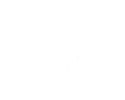 CN(C)CC(=O)N(C)c1ccc(N2CCOCC2)c(COc2ccc(-c3c(-c4ccccc4)c4sc(C(=O)O)cc4n3C)cc2)c1.Cl.Cl